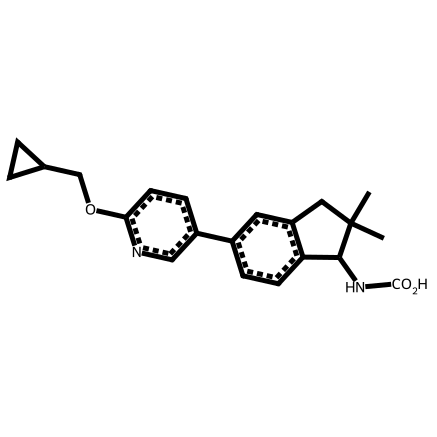 CC1(C)Cc2cc(-c3ccc(OCC4CC4)nc3)ccc2C1NC(=O)O